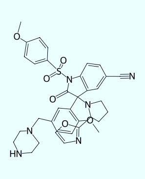 COc1ccc(S(=O)(=O)N2C(=O)C(c3cc(CN4CCNCC4)ccc3OC)(N3CCCC3c3ncco3)c3cc(C#N)ccc32)cc1